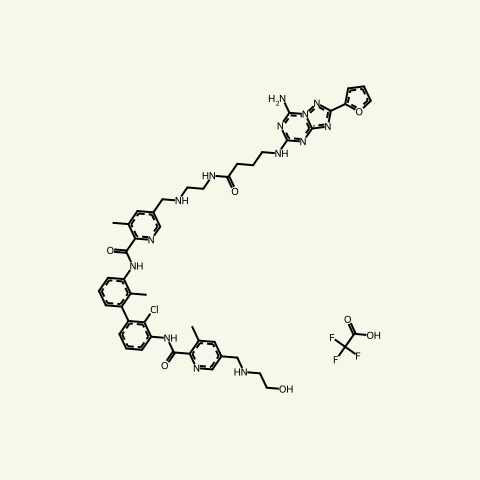 Cc1cc(CNCCNC(=O)CCCNc2nc(N)n3nc(-c4ccco4)nc3n2)cnc1C(=O)Nc1cccc(-c2cccc(NC(=O)c3ncc(CNCCO)cc3C)c2Cl)c1C.O=C(O)C(F)(F)F